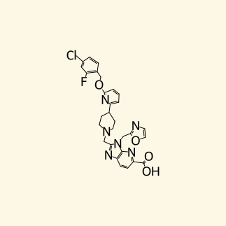 O=C(O)c1ccc2nc(CN3CCC(c4cccc(OCc5ccc(Cl)cc5F)n4)CC3)n(Cc3ncco3)c2n1